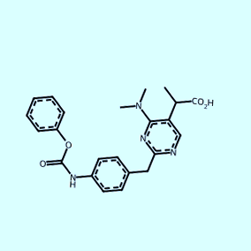 CC(C(=O)O)c1cnc(Cc2ccc(NC(=O)Oc3ccccc3)cc2)nc1N(C)C